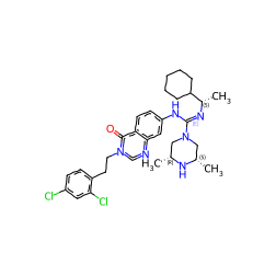 C[C@@H]1CN(/C(=N/[C@@H](C)C2CCCCC2)Nc2ccc3c(=O)n(CCc4ccc(Cl)cc4Cl)cnc3c2)C[C@H](C)N1